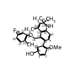 COc1ccc(O)cc1-c1ccc2c(c1COc1cc(F)ccc1C)C(C)=CC(C)(C)N2